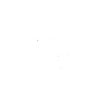 Cl.NCc1cccc(-c2ccccc2)c1